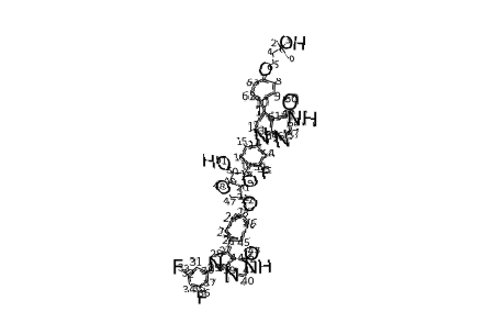 CC(C)(O)CCOc1ccc(-c2cn(-c3ccc(C4OC5C(Oc6ccc(-c7cn(-c8cc(F)cc(F)c8)c8nc[nH]c(=O)c78)cc6)COC5C4O)c(F)c3)c3nc[nH]c(=O)c23)cc1